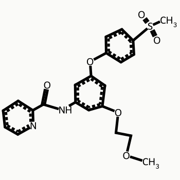 COCCOc1cc(NC(=O)c2ccccn2)cc(Oc2ccc(S(C)(=O)=O)cc2)c1